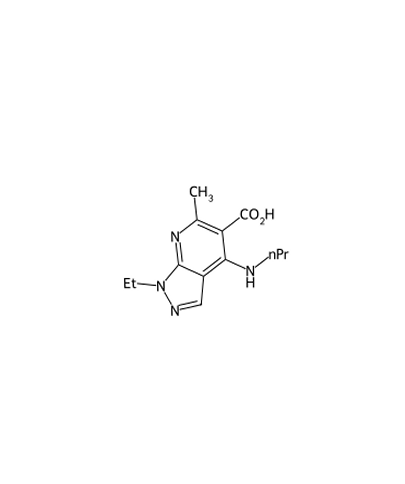 CCCNc1c(C(=O)O)c(C)nc2c1cnn2CC